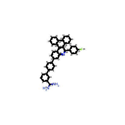 NC(N)c1cccc(-c2ccc(-c3ccc4c(c3)nc(-c3ccc(F)cc3)c3c5ccccc5c5ccccc5c43)cc2)c1